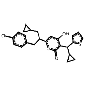 O=c1oc(C(Cc2ccc(Cl)cc2)CC2CC2)cc(O)c1C(c1cccs1)C1CC1